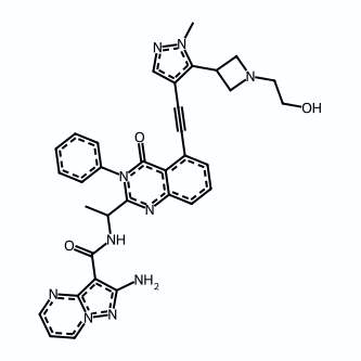 CC(NC(=O)c1c(N)nn2cccnc12)c1nc2cccc(C#Cc3cnn(C)c3C3CN(CCO)C3)c2c(=O)n1-c1ccccc1